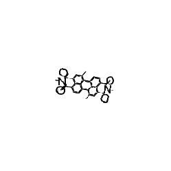 Cc1cc2c3c(ccc4c5c(C)cc6c7c(ccc(c1c34)c75)C(=O)N(C)C6=O)C(=O)N(C)C2=O